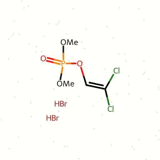 Br.Br.COP(=O)(OC)OC=C(Cl)Cl